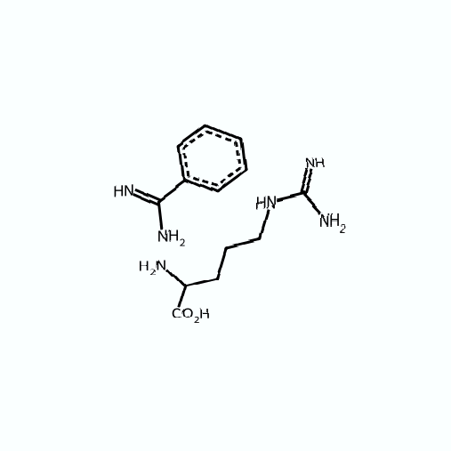 N=C(N)NCCCC(N)C(=O)O.N=C(N)c1ccccc1